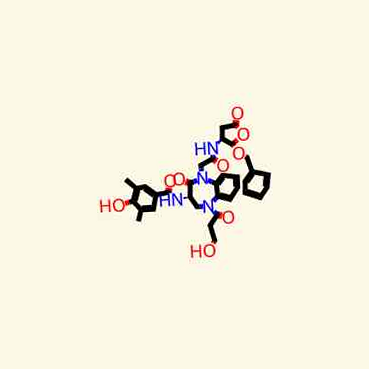 Cc1cc(C(=O)N[C@H]2CN(C(=O)CCO)c3ccccc3N(CC(=O)N[C@H]3CC(=O)OC3OCc3ccccc3)C2=O)cc(C)c1O